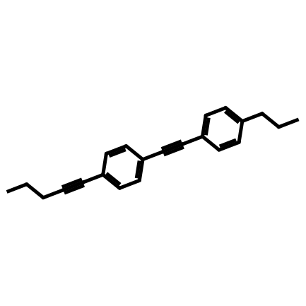 CCCC#Cc1ccc(C#Cc2ccc(CCC)cc2)cc1